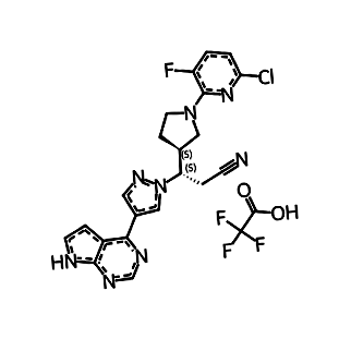 N#CC[C@@H]([C@H]1CCN(c2nc(Cl)ccc2F)C1)n1cc(-c2ncnc3[nH]ccc23)cn1.O=C(O)C(F)(F)F